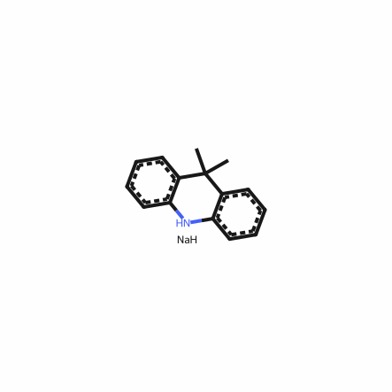 CC1(C)c2ccccc2Nc2ccccc21.[NaH]